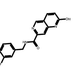 O=C(NCc1cccc(F)c1)c1cc2nc(O)ccc2cn1